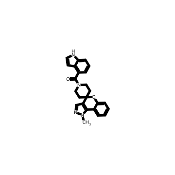 Cn1ncc2c1-c1ccccc1OC21CCN(C(=O)c2cccc3[nH]ccc23)CC1